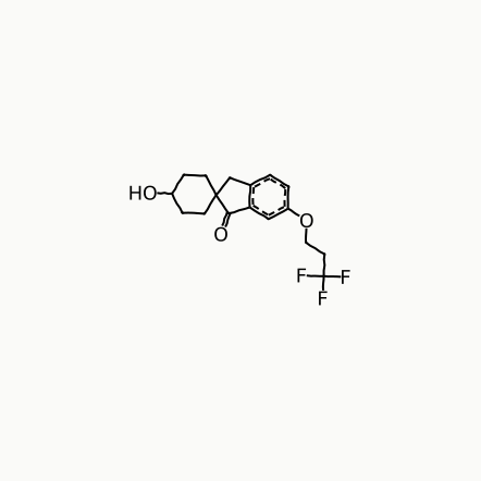 O=C1c2cc(OCCC(F)(F)F)ccc2CC12CCC(O)CC2